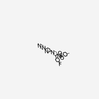 Cc1ccc(S(=O)(=O)n2c3c(c4ccc(F)cc42)CN(c2ccc(N4CCN(C)CC4)nc2)CC3)cc1